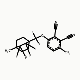 Cc1ccc(OC(F)(F)C23CCC(C)(CC2)C(F)(F)C3(F)F)c(C#N)c1C#N